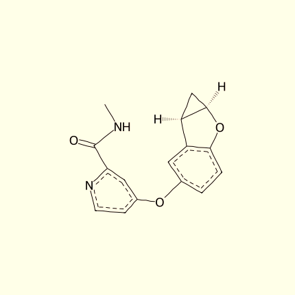 CNC(=O)c1cc(Oc2ccc3c(c2)[C@H]2C[C@H]2O3)ccn1